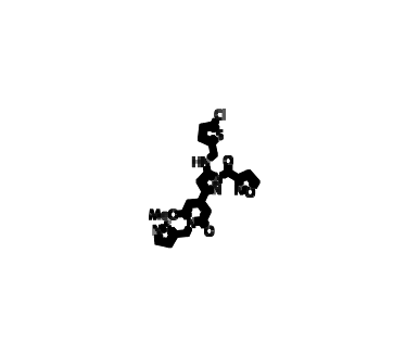 COc1cc(-c2cc(NCc3ccc(Cl)s3)n(C(=O)c3ccon3)n2)cc(=O)n1Cc1ccns1